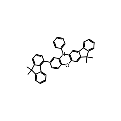 CC1(C)c2ccccc2-c2cc3c(cc21)Oc1ccc(-c2cccc4c2-c2ccccc2C4(C)C)cc1N3c1ccccc1